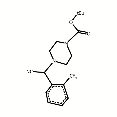 CC(C)(C)OC(=O)N1CCN(C(C#N)c2ccccc2C(F)(F)F)CC1